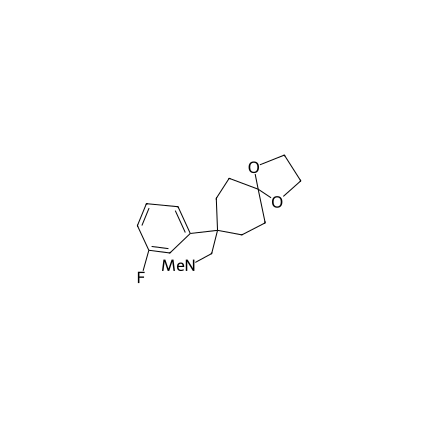 CNCC1(c2cccc(F)c2)CCC2(CC1)OCCO2